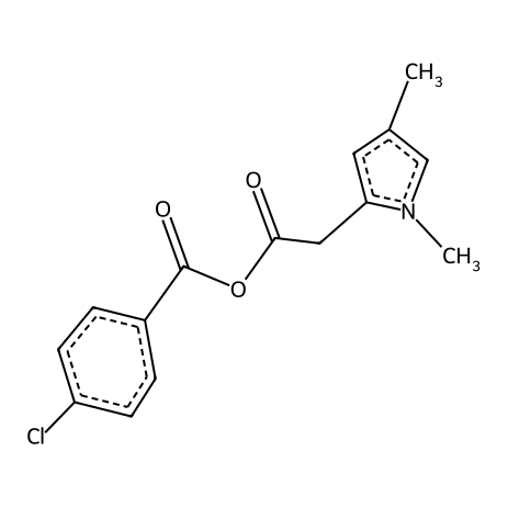 Cc1cc(CC(=O)OC(=O)c2ccc(Cl)cc2)n(C)c1